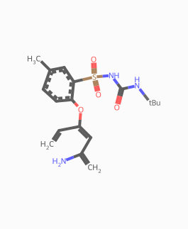 C=C/C(=C\C(=C)N)Oc1ccc(C)cc1S(=O)(=O)NC(=O)NC(C)(C)C